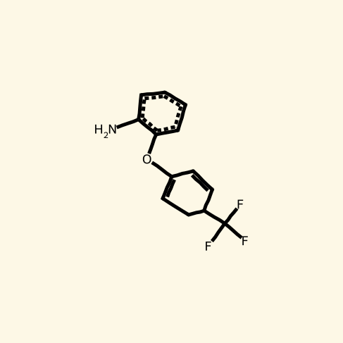 Nc1ccccc1OC1=CCC(C(F)(F)F)C=C1